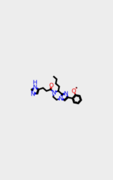 CCCCC1c2nc(-c3ccccc3OC)cn2CCN1C(=O)CCc1cnc[nH]1